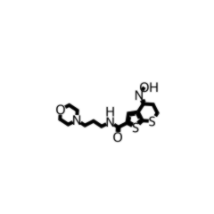 O=C(NCCCN1CCOCC1)c1cc2c(s1)SCCC2=NO